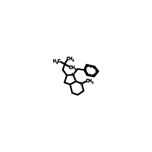 CN1CCCC2CC(CC(C)(C)C)N(Cc3ccccc3)C21